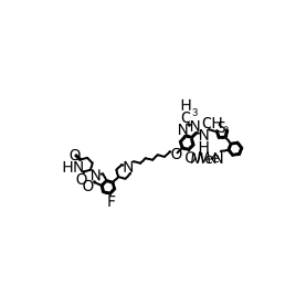 CNCc1ccccc1-c1csc([C@H](C)Nc2nc(C)nc3cc(OCCCCCCCN4CCC(c5cc(F)cc6c5CN(C5CCC(=O)NC5=O)C6=O)CC4)c(OC)cc23)c1